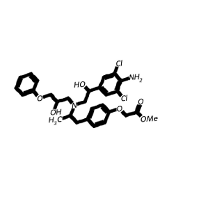 COC(=O)COc1ccc(CC(C)N(CC(O)COc2ccccc2)CC(O)c2cc(Cl)c(N)c(Cl)c2)cc1